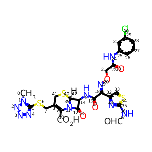 Cn1nnnc1SCC1=C(C(=O)O)N2C(=O)C(NC(=O)C(=NOCC(=O)Nc3cccc(Cl)c3)c3csc(NC=O)n3)[C@@H]2SC1